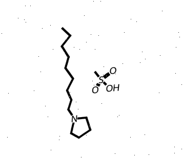 CCCCCCCCCN1CCCC1.CS(=O)(=O)O